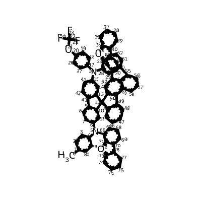 Cc1ccc(N(c2ccc3c(c2)C2(c4cc(N(c5ccc(OC(F)(F)F)cc5)c5cccc6c5oc5ccccc56)ccc4-3)c3ccccc3-c3c2cc2c4c(cccc34)-c3ccccc3-2)c2cccc3c2oc2ccccc23)cc1